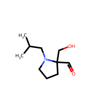 CC(C)CN1CCCC1(C=O)CO